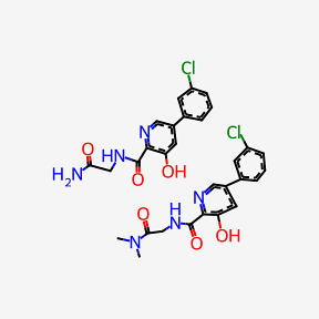 CN(C)C(=O)CNC(=O)c1ncc(-c2cccc(Cl)c2)cc1O.NC(=O)CNC(=O)c1ncc(-c2cccc(Cl)c2)cc1O